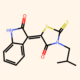 CC(C)CN1C(=O)/C(=C2/C(=O)Nc3ccccc32)SC1=S